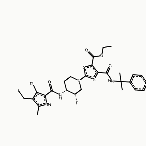 CCOC(=O)c1sc(N2CC[C@@H](NC(=O)c3[nH]c(C)c(CI)c3Cl)[C@@H](F)C2)nc1C(=O)NC(C)(C)c1ccccc1